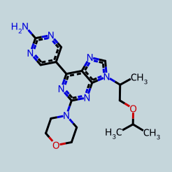 CC(C)OCC(C)n1cnc2c(-c3cnc(N)nc3)nc(N3CCOCC3)nc21